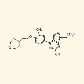 Cc1cc(-c2nc(C#N)nc3c2ccn3CC(=O)O)ccc1OCCC1CCOCC1